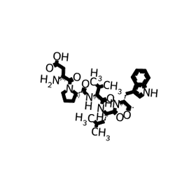 CC(C)C[C@H](NC(=O)[C@H](NC(=O)[C@@H]1CCCN1C(=O)[C@H](N)CC(=O)O)C(C)C)C(=O)N[C@@H]([C]=O)Cc1c[nH]c2ccccc12